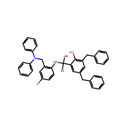 CCCC(CC)(Pc1ccc(F)cc1CN(c1ccccc1)c1ccccc1)c1cc(Cc2ccccc2)cc(Cc2ccccc2)c1O